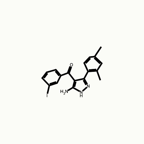 Cc1ccc(-c2n[nH]c(N)c2C(=O)c2cccc(I)c2)c(C)c1